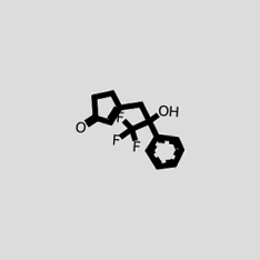 O=C1C=C(CC(O)(c2ccccc2)C(F)(F)F)CC1